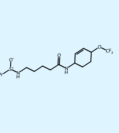 CC(C)[S+]([O-])NCCCCC(=O)NC1C=CC(OC(F)(F)F)CC1